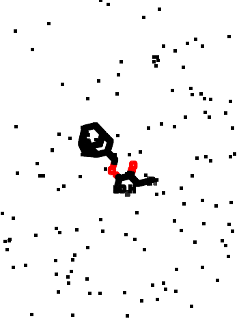 CC(C)CC(=O)C(OCC1CC2CC3CCC1C(C3)C2)S(=O)(=O)O